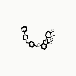 O=C1CCCC(N2Cc3c(OCc4ccc(CN5CCN(c6ccccn6)CC5)cc4)cccc3C2=O)C(=O)N1